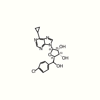 OC(c1ccc(Cl)cc1)[C@H]1O[C@@H](n2cnc3c(C4CC4)ncnc32)[C@H](O)[C@@H]1O